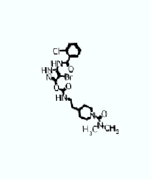 CN(C)C(=O)N1CCC(CCNC(=O)Oc2n[nH]c(NC(=O)c3ccccc3Cl)c2Br)CC1